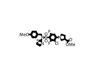 COC(=O)C1CCN(c2cc(F)c(S(=O)(=O)N(Cc3ccc(OC)cc3)c3nccs3)c(F)c2Cl)C1